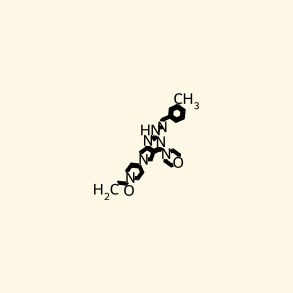 C=CC(=O)N1CC=C(N2Cc3nc(N/N=C/c4cccc(C)c4)nc(N4CCOCC4)c3C2)CC1